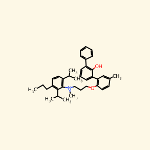 CCCc1ccc(C(C)C)c(N(C)CCCOc2ccc(C)cc2-c2cccc(-c3ccccc3)c2O)c1C(C)C